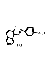 Cl.O=S(=O)(O)c1ccc(N=Nc2c(Cl)ccc3ccccc23)cc1